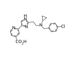 O=C(O)c1ccnc(-c2c[nH]c(CCN(Cc3ccc(Cl)cc3)C3CC3)n2)c1